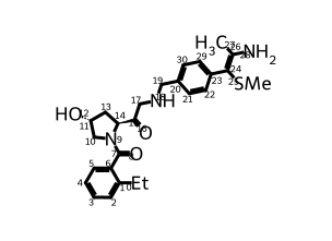 CCc1ccccc1C(=O)N1C[C@H](O)C[C@H]1C(=O)CNCc1ccc(/C(SC)=C(\C)N)cc1